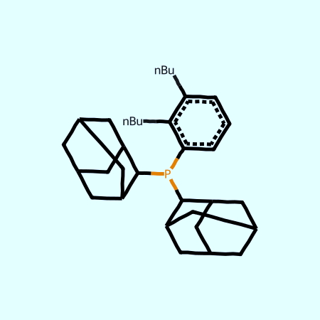 CCCCc1cccc(P(C2C3CC4CC(C3)CC2C4)C2C3CC4CC(C3)CC2C4)c1CCCC